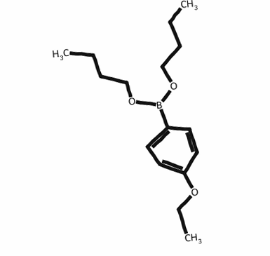 CCCCOB(OCCCC)c1ccc(OCC)cc1